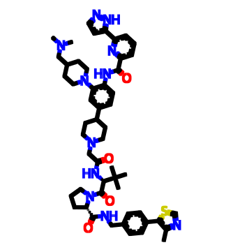 Cc1ncsc1-c1ccc(CNC(=O)[C@@H]2CCCN2C(=O)[C@@H](NC(=O)CN2CCC(c3ccc(NC(=O)c4cccc(-c5ccn[nH]5)n4)c(N4CCC(CN(C)C)CC4)c3)CC2)C(C)(C)C)cc1